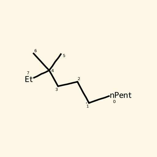 CCCCC[CH]CCC(C)(C)CC